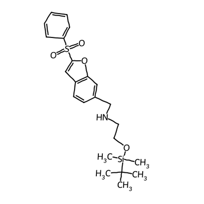 CC(C)(C)[Si](C)(C)OCCNCc1ccc2cc(S(=O)(=O)c3ccccc3)oc2c1